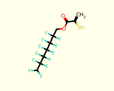 C=C(S)C(=O)OCC(F)(F)C(F)(F)C(F)(F)C(F)(F)C(F)(F)C(F)F